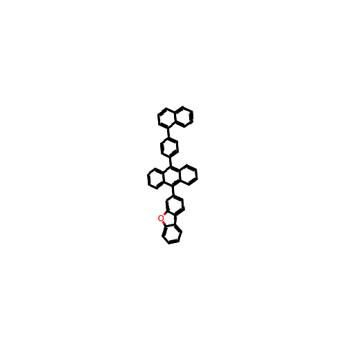 c1ccc2c(-c3ccc(-c4c5ccccc5c(-c5ccc6c(c5)oc5ccccc56)c5ccccc45)cc3)cccc2c1